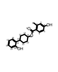 Cc1cc(O)ccc1C(=O)OC1CCC(c2ccccc2O)CC1